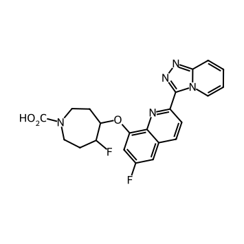 O=C(O)N1CCC(F)C(Oc2cc(F)cc3ccc(-c4nnc5ccccn45)nc23)CC1